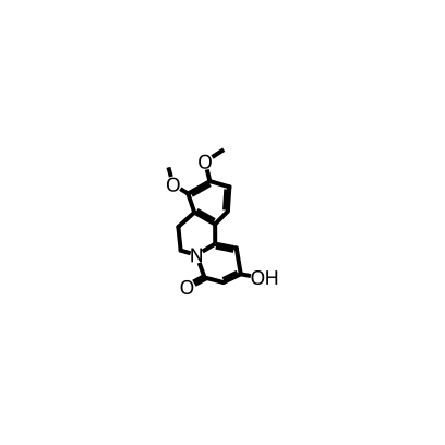 COc1ccc2c(c1OC)CCn1c-2cc(O)cc1=O